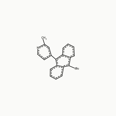 Cc1cc(-c2c3ccccc3c(C(C)(C)C)c3ccccc23)ccn1